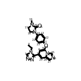 CCn1cnnc1-c1cc(Oc2ccc(N3CCN(C)C3=O)cc2)n2cncc2c1